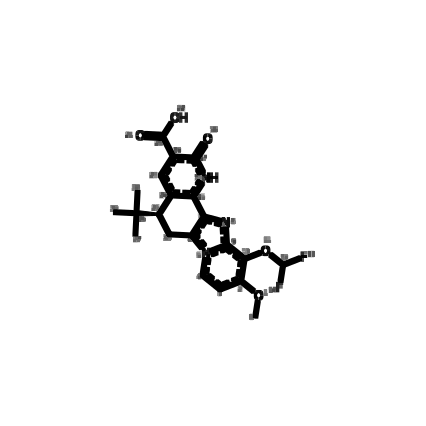 COc1ccn2c3c(nc2c1OC(F)F)-c1[nH]c(=O)c(C(=O)O)cc1[C@H](C(C)(C)C)C3